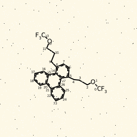 FC(F)(F)OCCCc1ccc(CCCOC(F)(F)F)c2c3ccccc3c3ccccc3c12